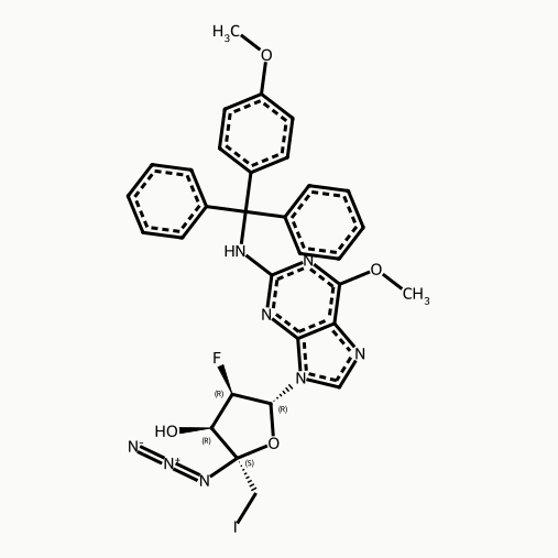 COc1ccc(C(Nc2nc(OC)c3ncn([C@@H]4O[C@@](CI)(N=[N+]=[N-])[C@@H](O)[C@H]4F)c3n2)(c2ccccc2)c2ccccc2)cc1